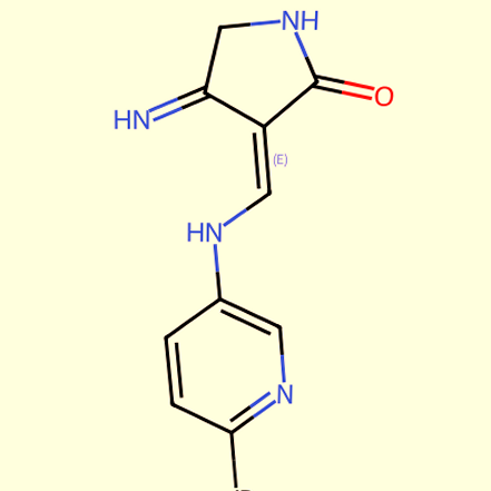 CC(C)c1ccc(N/C=C2\C(=N)CNC2=O)cn1